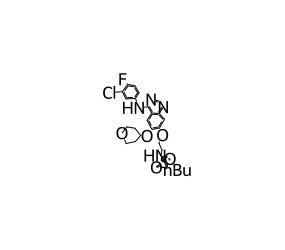 CCCCS(=O)(=O)NCCOc1cc2ncnc(Nc3ccc(F)c(Cl)c3)c2cc1OC1CCOCC1